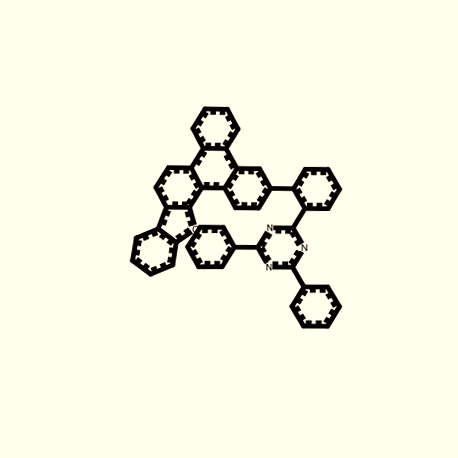 c1ccc(-c2nc(-c3ccccc3)nc(-c3ccccc3-c3ccc4c(c3)c3ccccc3c3ccc5c6ccccc6oc5c34)n2)cc1